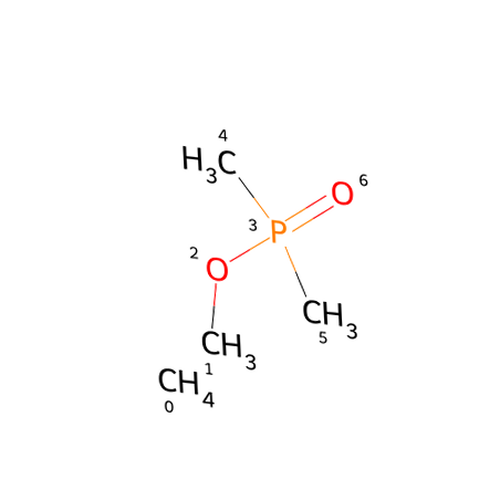 C.COP(C)(C)=O